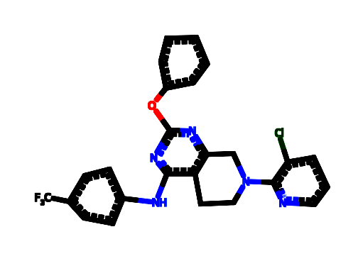 FC(F)(F)c1ccc(Nc2nc(Oc3ccccc3)nc3c2CCN(c2ncccc2Cl)C3)cc1